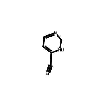 N#CC1=CC=NCN1